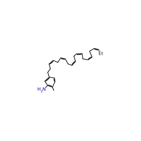 CC/C=C\C/C=C\C/C=C\C/C=C\C/C=C\C/C=C\CCc1ccc(C)c(N)c1